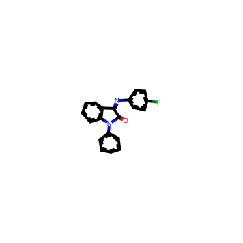 O=C1C(=Nc2ccc(F)cc2)c2ccccc2N1c1ccccc1